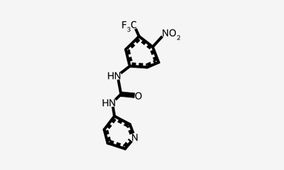 O=C(Nc1cccnc1)Nc1ccc([N+](=O)[O-])c(C(F)(F)F)c1